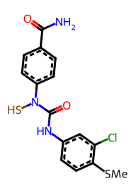 CSc1ccc(NC(=O)N(S)c2ccc(C(N)=O)cc2)cc1Cl